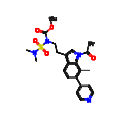 Cc1c(-c2ccncc2)ccc2c(CCN(C(=O)OC(C)(C)C)S(=O)(=O)N(C)C)cn(C(=O)C(C)C)c12